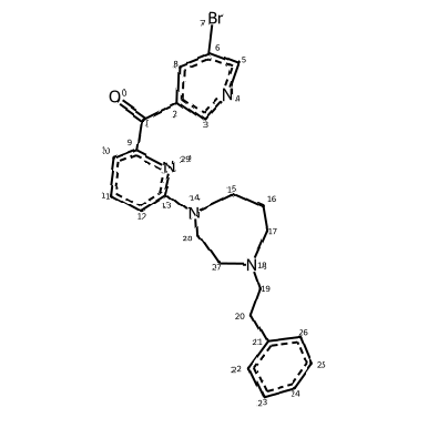 O=C(c1cncc(Br)c1)c1cccc(N2CCCN(CCc3ccccc3)CC2)n1